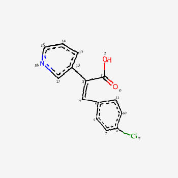 O=C(O)C(=Cc1ccc(Cl)cc1)c1cccnc1